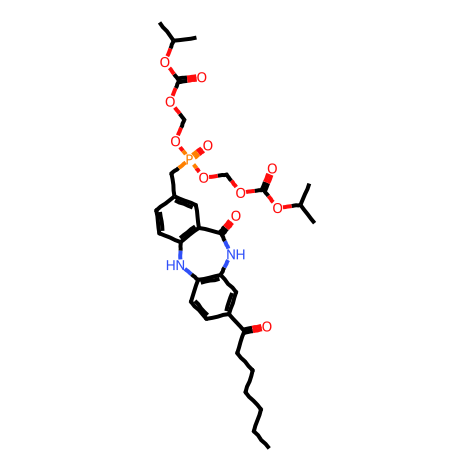 CCCCCCC(=O)c1ccc2c(c1)NC(=O)c1cc(CP(=O)(OCOC(=O)OC(C)C)OCOC(=O)OC(C)C)ccc1N2